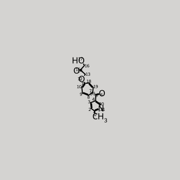 Cc1ccc(C(=O)[C@@H]2C=CC=C(OCC(=O)CO)C=C2)cn1